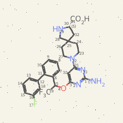 Nc1nc(OC(c2ccccc2-c2cccc(F)c2)C(F)(F)F)cc(N2CCC3(CC2)CN[C@H](C(=O)O)C3)n1